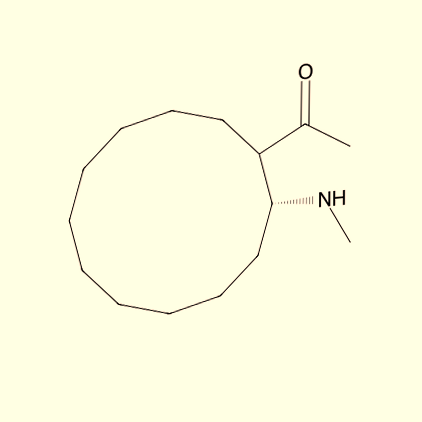 CN[C@@H]1CCCCCCCCCCC1C(C)=O